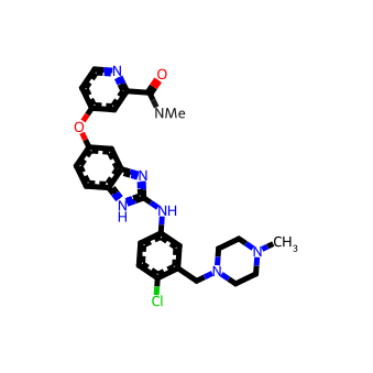 CNC(=O)c1cc(Oc2ccc3[nH]c(Nc4ccc(Cl)c(CN5CCN(C)CC5)c4)nc3c2)ccn1